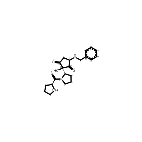 O=C([C@@H]1CCCN1)N1CCC[C@H]1C1(O)C(=O)CC(OCc2ccccc2)C1=O